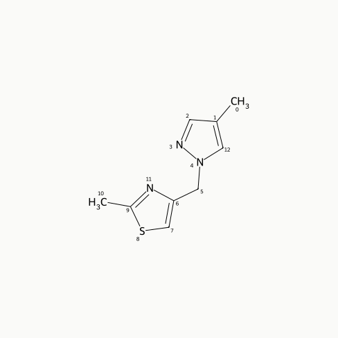 Cc1cnn(Cc2csc(C)n2)c1